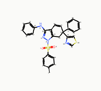 Cc1ccc(S(=O)(=O)n2nc(Nc3ccccc3)c3c2CC(c2ccccc2)(c2cscn2)C=C3)cc1